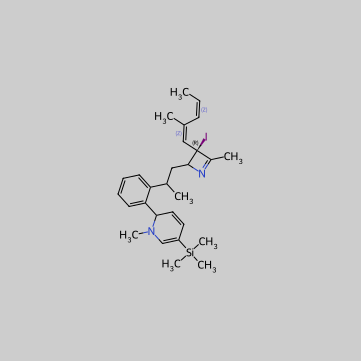 C/C=C\C(C)=C/[C@]1(I)C(C)=NC1CC(C)c1ccccc1C1C=CC([Si](C)(C)C)=CN1C